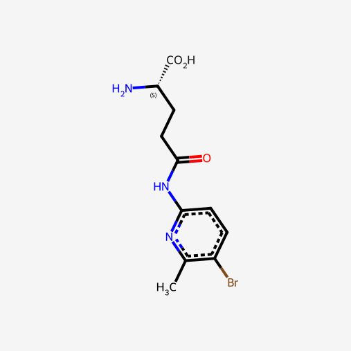 Cc1nc(NC(=O)CC[C@H](N)C(=O)O)ccc1Br